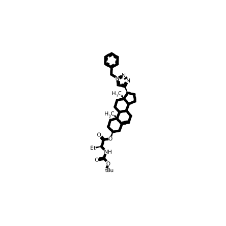 CC[C@H](NC(=O)OC(C)(C)C)C(=O)O[C@H]1CC[C@@]2(C)C(=CCC3C2CC[C@@]2(C)C3CC[C@@H]2c2cn(Cc3ccccc3)nn2)C1